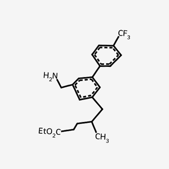 CCOC(=O)CCC(C)Cc1cc(CN)cc(-c2ccc(C(F)(F)F)cc2)c1